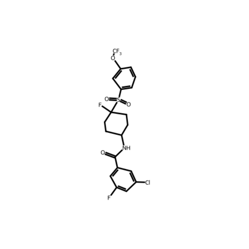 O=C(NC1CCC(F)(S(=O)(=O)c2cccc(OC(F)(F)F)c2)CC1)c1cc(F)cc(Cl)c1